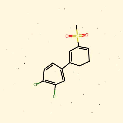 CS(=O)(=O)C1=CC[CH]C(c2ccc(Cl)c(Cl)c2)=C1